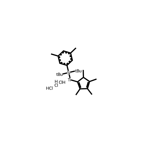 CC1=C(C)C(C)[C]([Ti][Si](c2cc(C)cc(C)c2)(C(C)(C)C)C(C)(C)C)=C1C.Cl.Cl.Cl